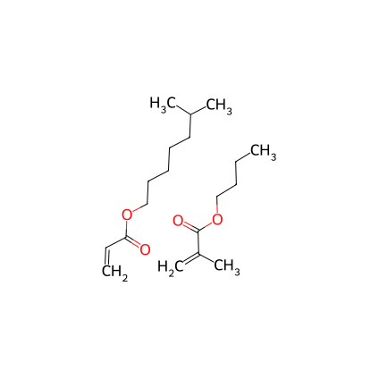 C=C(C)C(=O)OCCCC.C=CC(=O)OCCCCCC(C)C